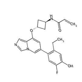 C=CC(=O)N[C@H]1C[C@H](Oc2cc(-c3cc(F)c(O)cc3CC)cn3cncc23)C1